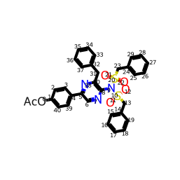 CC(=O)Oc1ccc(-c2cnc(N(S(=O)(=O)Cc3ccccc3)S(=O)(=O)Cc3ccccc3)c(Cc3ccccc3)n2)cc1